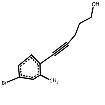 Cc1cc(Br)ccc1C#CCCCO